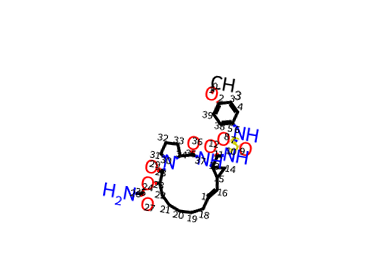 COc1ccc(NS(=O)(=O)NC(=O)C23CC2/C=C/CCCCCC(OC(N)=O)C(=O)N2CCCC2C(=O)N3)cc1